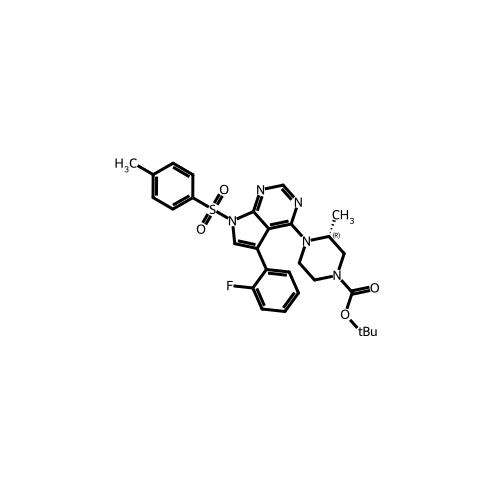 Cc1ccc(S(=O)(=O)n2cc(-c3ccccc3F)c3c(N4CCN(C(=O)OC(C)(C)C)C[C@H]4C)ncnc32)cc1